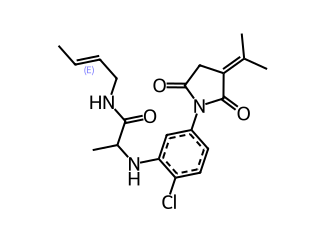 C/C=C/CNC(=O)C(C)Nc1cc(N2C(=O)CC(=C(C)C)C2=O)ccc1Cl